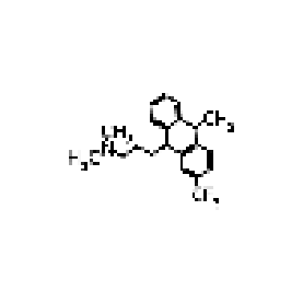 CC1c2ccccc2C(CCCN(C)C)c2cc(C(F)(F)F)ccc21